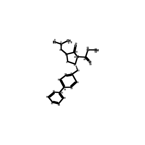 CCN(C)CC1C[C@@H](Cc2ccc(-c3ccccc3)cc2)N(C(=O)OC(C)(C)C)C1=O